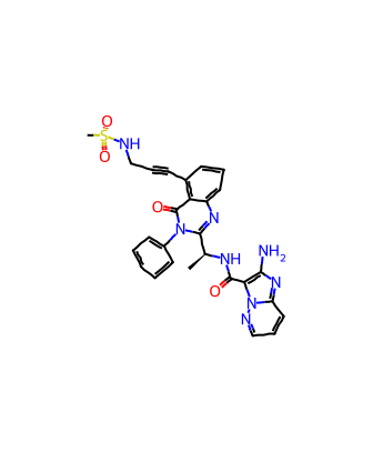 C[C@H](NC(=O)c1c(N)nc2cccnn12)c1nc2cccc(C#CCNS(C)(=O)=O)c2c(=O)n1-c1ccccc1